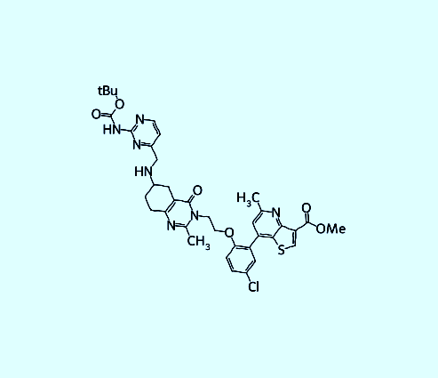 COC(=O)c1csc2c(-c3cc(Cl)ccc3OCCn3c(C)nc4c(c3=O)CC(NCc3ccnc(NC(=O)OC(C)(C)C)n3)CC4)cc(C)nc12